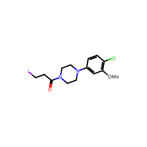 COc1cc(N2CCN(C(=O)CCI)CC2)ccc1Cl